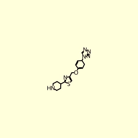 C1=CC(n2cnnn2)CC=C1OCc1csc(C2CCNCC2)n1